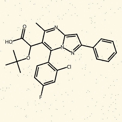 Cc1nc2cc(-c3ccccc3)nn2c(-c2ccc(F)cc2Cl)c1C(OC(C)(C)C)C(=O)O